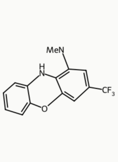 CNc1cc(C(F)(F)F)cc2c1Nc1ccccc1O2